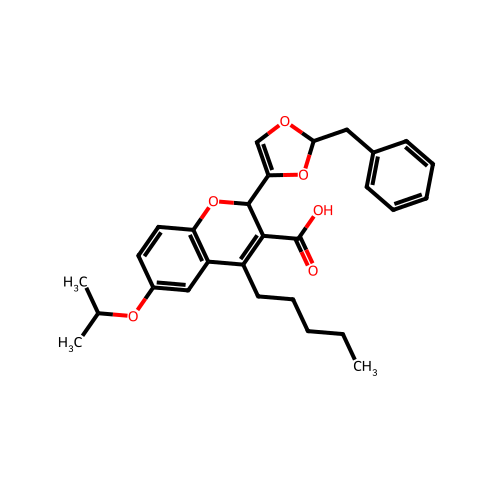 CCCCCC1=C(C(=O)O)C(C2=COC(Cc3ccccc3)O2)Oc2ccc(OC(C)C)cc21